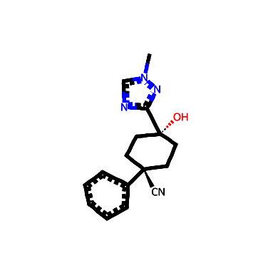 Cn1cnc([C@]2(O)CC[C@@](C#N)(c3ccccc3)CC2)n1